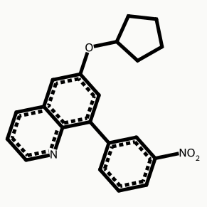 O=[N+]([O-])c1cccc(-c2cc(OC3CCCC3)cc3cccnc23)c1